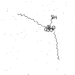 CCCCCCCCCCCCCCCCCC(=O)O[Si](CCCCCS)(OC)OC(=O)CCCCCCCCCCCCCCCCC